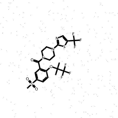 CC(C)(Oc1ccc(S(C)(=O)=O)cc1C(=O)N1CCN(c2ncc(C(F)(F)F)s2)CC1)C(F)(F)F